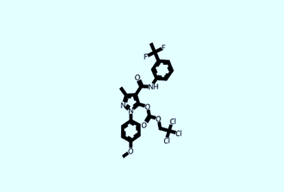 COc1ccc(-n2nc(C)c(C(=O)Nc3cccc(C(C)(F)F)c3)c2OC(=O)OCC(Cl)(Cl)Cl)cc1